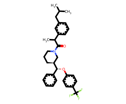 CC(C)Cc1cccc(C(C)C(=O)N2CCC[C@H]([C@H](Oc3ccc(C(F)(F)F)cc3)c3ccccc3)C2)c1